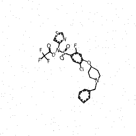 O=C(ON(c1cscn1)S(=O)(=O)c1cc(Cl)c(OC2CCN(Cc3ccccc3)CC2)cc1F)C(F)(F)F